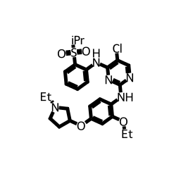 CCOc1cc(OC2CCN(CC)C2)ccc1Nc1ncc(Cl)c(Nc2ccccc2S(=O)(=O)C(C)C)n1